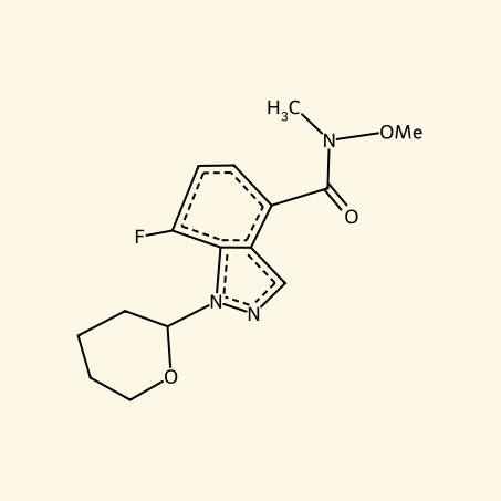 CON(C)C(=O)c1ccc(F)c2c1cnn2C1CCCCO1